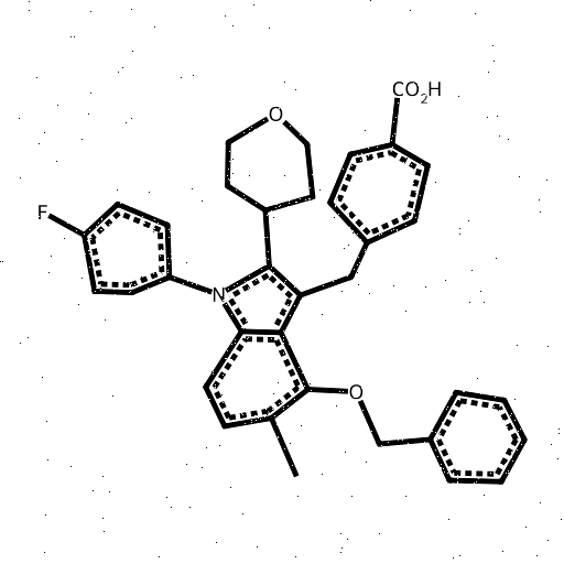 Cc1ccc2c(c(Cc3ccc(C(=O)O)cc3)c(C3CCOCC3)n2-c2ccc(F)cc2)c1OCc1ccccc1